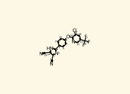 N#Cc1nc(-c2ccc(Oc3ncc(C(F)(F)F)cc3Cl)cc2)[nH]c1C#N